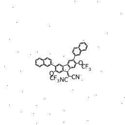 N#CC(C#N)=C1c2cc(OC(F)(F)F)c(-c3ccc4ccccc4c3)cc2-c2cc(-c3ccc4ccccc4c3)c(OC(F)(F)F)cc21